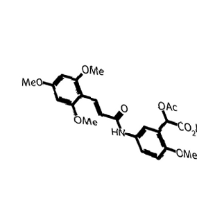 COc1cc(OC)c(C=CC(=O)Nc2ccc(OC)c(C(OC(C)=O)C(=O)O)c2)c(OC)c1